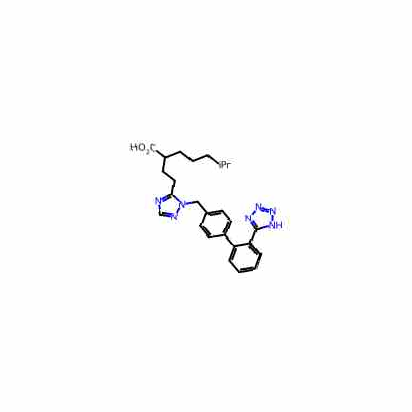 CC(C)CCCC(CCc1ncnn1Cc1ccc(-c2ccccc2-c2nnn[nH]2)cc1)C(=O)O